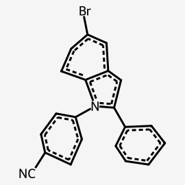 N#Cc1ccc(-n2c(-c3ccccc3)cc3cc(Br)ccc32)cc1